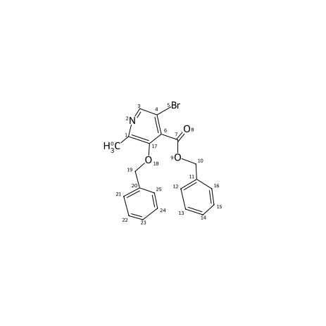 Cc1ncc(Br)c(C(=O)OCc2ccccc2)c1OCc1ccccc1